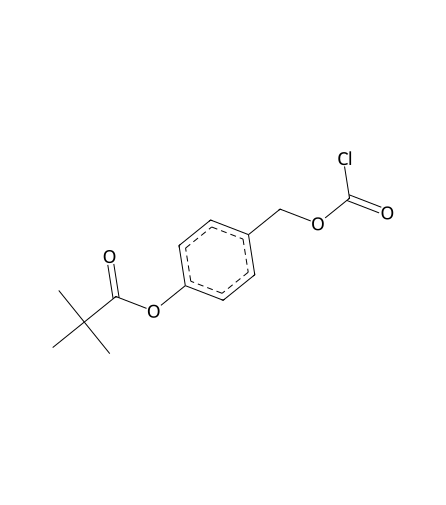 CC(C)(C)C(=O)Oc1ccc(COC(=O)Cl)cc1